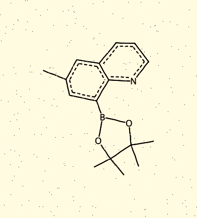 Cc1cc(B2OC(C)(C)C(C)(C)O2)c2ncccc2c1